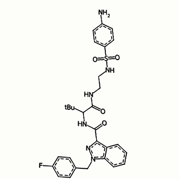 CC(C)(C)C(NC(=O)c1nn(Cc2ccc(F)cc2)c2ccccc12)C(=O)NCCNS(=O)(=O)c1ccc(N)cc1